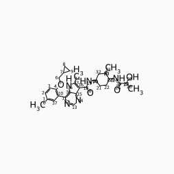 Cc1ccc(OCC2CC2)c(-c2ncnc3c(C(=O)N[C@@H]4CC[C@H](NC(=O)[C@H](C)O)[C@H](C)C4)c(C)[nH]c23)c1